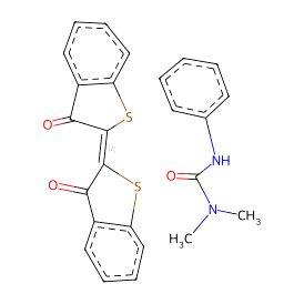 CN(C)C(=O)Nc1ccccc1.O=C1/C(=C2/Sc3ccccc3C2=O)Sc2ccccc21